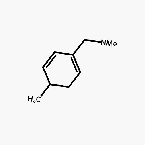 CNCC1=CCC(C)C=C1